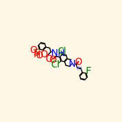 CS(=O)(=O)c1cccc(CC(NC(=O)c2c(Cl)cc3c(c2Cl)CCN(C(=O)/C=C/c2ccccc2F)C3)C(=O)O)c1